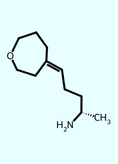 C[C@H](N)CC/C=C1/CCCOCC1